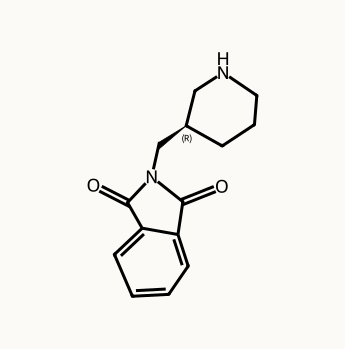 O=C1c2ccccc2C(=O)N1C[C@@H]1CCCNC1